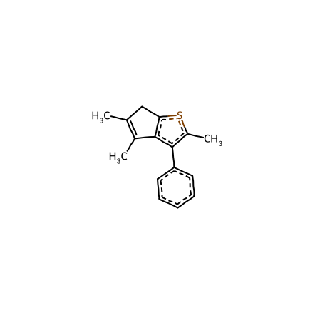 CC1=C(C)c2c(sc(C)c2-c2ccccc2)C1